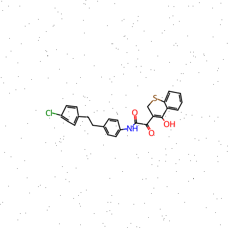 O=C(Nc1ccc(CCc2ccc(Cl)cc2)cc1)C(=O)C1=C(O)c2ccccc2SC1